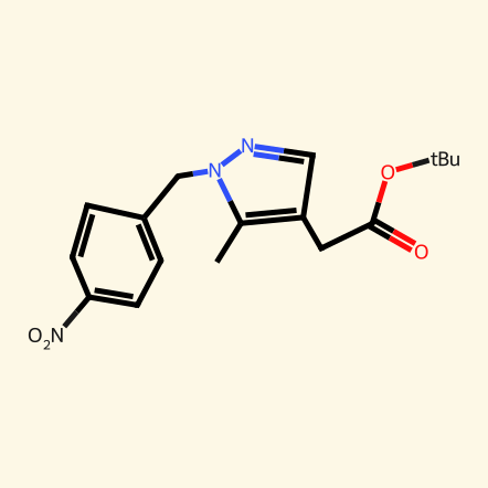 Cc1c(CC(=O)OC(C)(C)C)cnn1Cc1ccc([N+](=O)[O-])cc1